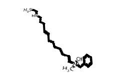 C[N+](C)(CCCCCCCCCCCCNC[SiH3])Cc1ccccc1